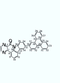 O=c1c2nccnc2c2cccc3c4cc(C5=CC6C(=c7ccccc7=C7C=CC=CC76)C=C5)ccc4n1c32